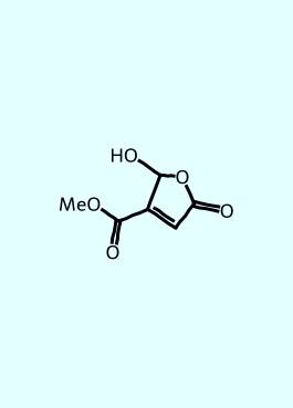 COC(=O)C1=CC(=O)OC1O